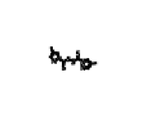 Cc1cnn(C(=S)SSC(=S)n2cc(C)cn2)c1